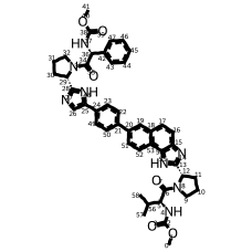 COC(=O)N[C@H](C(=O)N1CCC[C@H]1c1nc2ccc3cc(-c4ccc(-c5cnc([C@@H]6CCCN6C(=O)[C@H](NC(=O)OC)c6ccccc6)[nH]5)cc4)ccc3c2[nH]1)C(C)C